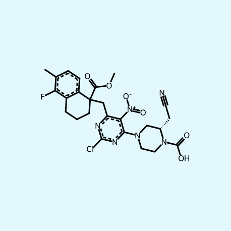 COC(=O)C1(Cc2nc(Cl)nc(N3CCN(C(=O)O)[C@@H](CC#N)C3)c2[N+](=O)[O-])CCCc2c1ccc(C)c2F